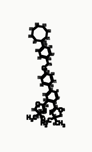 CC1(C)COC(c2ccc(-c3ccc(OCc4ccc(C5CCCCCCC5)cc4)cc3)cc2C2=NC(C)(C)CO2)=N1